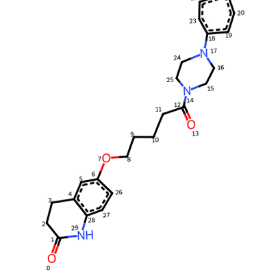 O=C1CCc2cc(OCCCCC(=O)N3CCN(c4ccccc4)CC3)ccc2N1